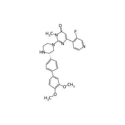 COc1ccc(-c2ccc([C@H]3CN(c4nc(-c5ccncc5F)cc(=O)n4C)CCN3)cc2)cc1OC